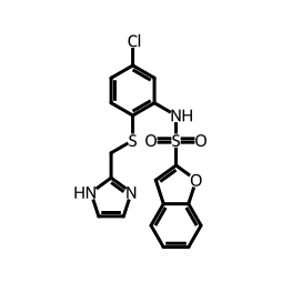 O=S(=O)(Nc1cc(Cl)ccc1SCc1ncc[nH]1)c1cc2ccccc2o1